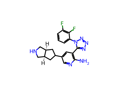 Nc1ncc(C2C[C@H]3CNC[C@H]3C2)cc1-c1nnnn1-c1cccc(F)c1F